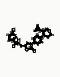 O=C(NC[C@H]1CN(c2ccc(N3CCON=C3C3CC3)cc2)C(=O)O1)c1ccc(Cl)s1